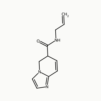 C=CCNC(=O)C1C=Cc2nccn2C1